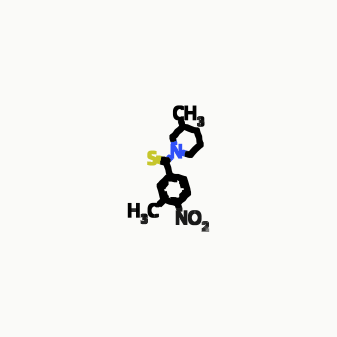 Cc1cc(C(=S)N2CCCC(C)C2)ccc1[N+](=O)[O-]